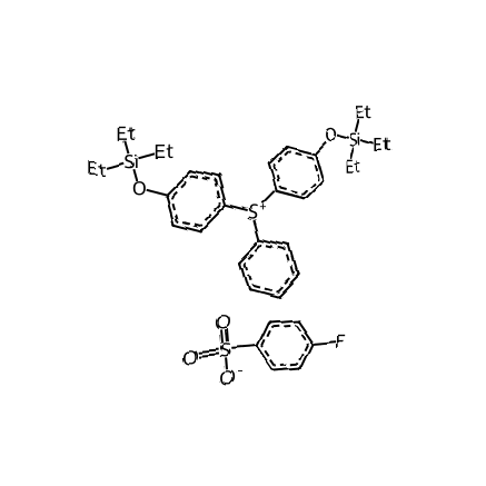 CC[Si](CC)(CC)Oc1ccc([S+](c2ccccc2)c2ccc(O[Si](CC)(CC)CC)cc2)cc1.O=S(=O)([O-])c1ccc(F)cc1